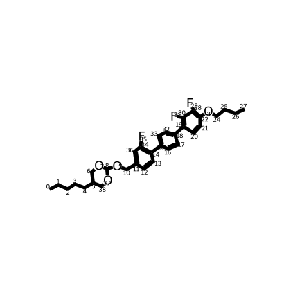 CCCCCC1COC(OCc2ccc(-c3ccc(-c4ccc(OCCCC)c(F)c4F)cc3)c(F)c2)OC1